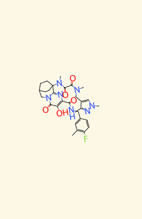 Cc1cc(CNC(=O)c2nc3n(c(=O)c2O)CC2CCC3(N(C)C(=O)C(=O)N(C)Cc3cn(C)nc3C)CC2)ccc1F